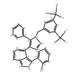 FC(F)(F)c1cc(Cn2nnc(-c3nccc4noc(-c5ccccc5Cl)c34)c2-c2cccnc2)cc(C(F)(F)F)c1